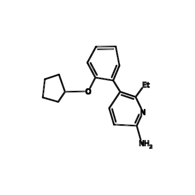 CCc1nc(N)ccc1-c1ccccc1OC1CCCC1